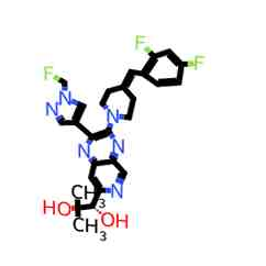 CC(C)(O)[C@@H](O)c1cc2nc(-c3cnn(CF)c3)c(N3CCC(=Cc4ccc(F)cc4F)CC3)nc2cn1